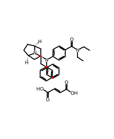 CCN(CC)C(=O)c1ccc(N(c2ccccc2)[C@H]2C[C@H]3CC[C@@H](C2)N3CCc2ccccc2)cc1.O=C(O)/C=C/C(=O)O